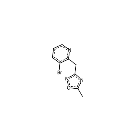 Cc1nc(Cc2ncccc2Br)no1